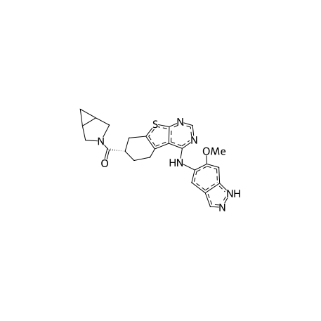 COc1cc2[nH]ncc2cc1Nc1ncnc2sc3c(c12)CC[C@H](C(=O)N1CC2CC2C1)C3